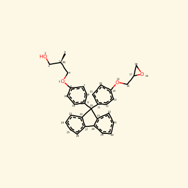 C[C@H](CO)COc1ccc(C2(c3ccc(OCC4CO4)cc3)c3ccccc3-c3ccccc32)cc1